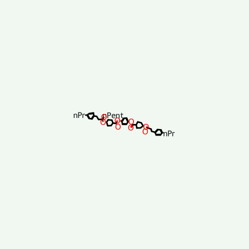 CCCCCc1cc(OC(=O)C2CCC(OC(=O)CCc3ccc(CCC)cc3)CC2)ccc1OC(=O)C1CCC(OC(=O)CCc2ccc(CCC)cc2)CC1